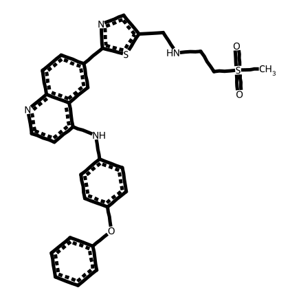 CS(=O)(=O)CCNCc1cnc(-c2ccc3nccc(Nc4ccc(Oc5ccccc5)cc4)c3c2)s1